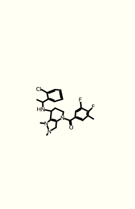 Cc1cc(C(=O)N2CCC(NC(C)c3ccccc3Cl)C3=C2CN(C)N3C)cc(F)c1F